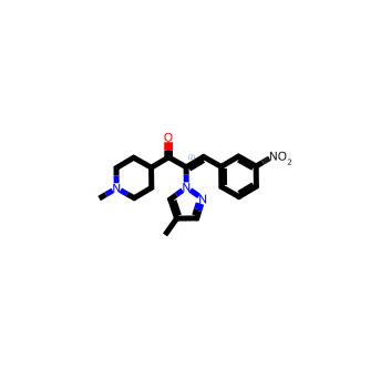 Cc1cnn(/C(=C\c2cccc([N+](=O)[O-])c2)C(=O)C2CCN(C)CC2)c1